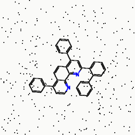 c1ccc(-c2ccccc2-c2cc(-c3ccccc3)c3ccc4c(-c5ccccc5)ccnc4c3n2)cc1